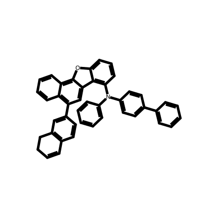 C1=Cc2ccc(-c3cc4c(oc5cccc(N(c6ccccc6)c6ccc(-c7ccccc7)cc6)c54)c4ccccc34)cc2CC1